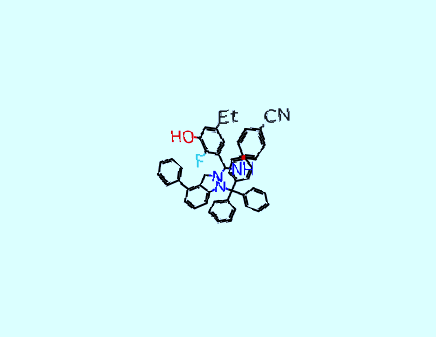 CCc1cc(O)c(F)c(C(Nc2ccc(C#N)cc2)N2Cc3c(-c4ccccc4)cccc3N2C(c2ccccc2)(c2ccccc2)c2ccccc2)c1